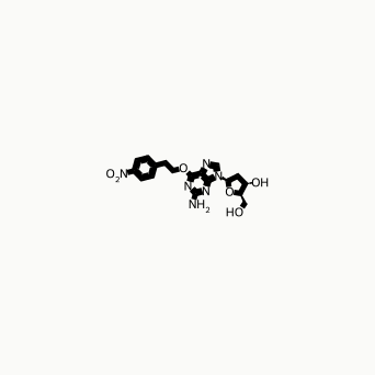 Nc1nc(OCCc2ccc([N+](=O)[O-])cc2)c2ncn([C@H]3C[C@H](O)[C@@H](CO)O3)c2n1